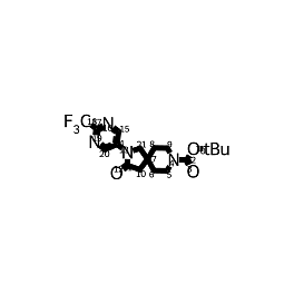 CC(C)(C)OC(=O)N1CCC2(CC1)CC(=O)N(c1cnc(C(F)(F)F)nc1)C2